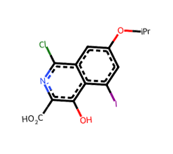 CC(C)Oc1cc(I)c2c(O)c(C(=O)O)nc(Cl)c2c1